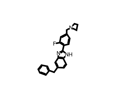 Fc1cc(CN2CCC2)ccc1-c1nc2cc(Cc3ccccc3)ccc2[nH]1